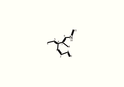 C=C\C=C/C(=C\C)C(/C)=C/N=C